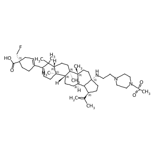 C=C(C)[C@@H]1CC[C@]2(NCCN3CCN(S(C)(=O)=O)CC3)CC[C@]3(C)[C@H](CC[C@@H]4[C@@]5(C)CC=C(C6=CC[C@](CF)(C(=O)O)CC6)C(C)(C)[C@@H]5CC[C@]43C)C12